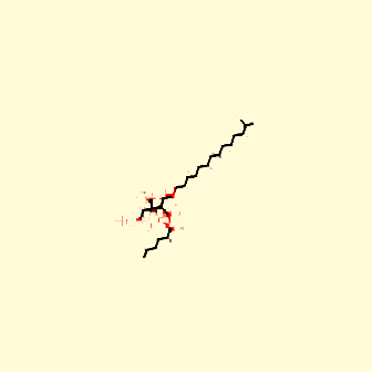 CCCCCC(=O)OC(=O)C(CCCCCCCCCCCCCCC(C)C)C(O)(CC(=O)O)C(=O)O